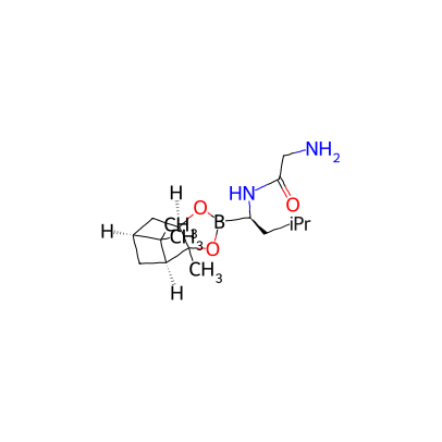 CC(C)C[C@H](NC(=O)CN)B1O[C@@H]2C[C@@H]3C[C@@H](C3(C)C)C2(C)O1